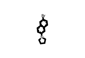 Brc1ccc2cc(N3CCCC3)ccc2c1